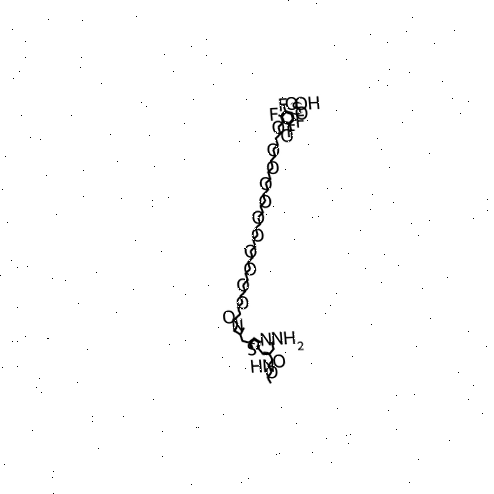 CCONC(=O)C1=Cc2sc(CC3CN(C(=O)CCOCCOCCOCCOCCOCCOCCOCCOCCOCCOCCC(=O)Oc4c(F)c(F)c(S(=O)(=O)O)c(F)c4F)C3)cc2N=C(N)C1